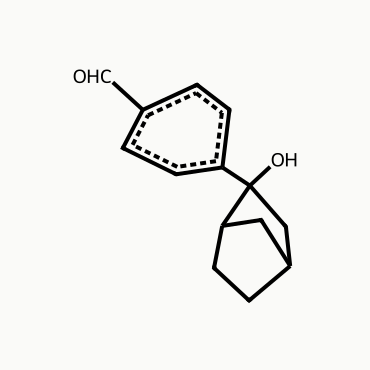 O=Cc1ccc(C2(O)CC3CCC2C3)cc1